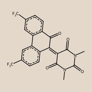 CN1C(=O)C(=C2C(=O)c3ccc(C(F)(F)F)cc3-c3cc(C(F)(F)F)ccc32)C(=O)N(C)C1=O